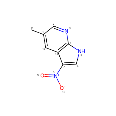 Cc1cnc2[nH]cc([N+](=O)[O-])c2c1